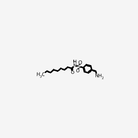 CCCCCCCCC(=O)NS(=O)(=O)c1ccc(CN)cc1